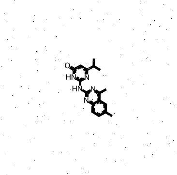 Cc1ccc2nc(Nc3nc(C(C)C)cc(=O)[nH]3)nc(C)c2c1